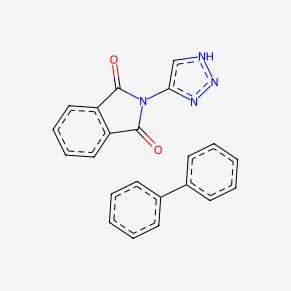 O=C1c2ccccc2C(=O)N1c1c[nH]nn1.c1ccc(-c2ccccc2)cc1